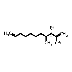 C=CCCCCCC(C)[C@H](CC)C(=C)CCC